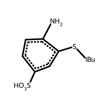 CCC(C)Sc1cc(S(=O)(=O)O)ccc1N